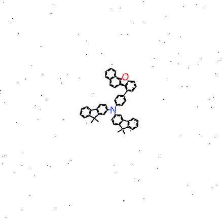 CC1(C)c2ccccc2-c2cc(N(c3ccc(-c4cccc5oc6c7ccccc7ccc6c45)cc3)c3ccc4c(c3)C(C)(C)c3ccccc3-4)ccc21